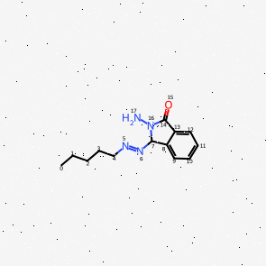 CCCCCN=NC1c2ccccc2C(=O)N1N